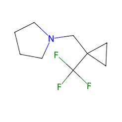 FC(F)(F)C1(CN2CCCC2)CC1